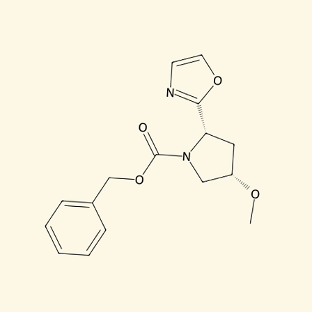 CO[C@H]1C[C@@H](c2ncco2)N(C(=O)OCc2ccccc2)C1